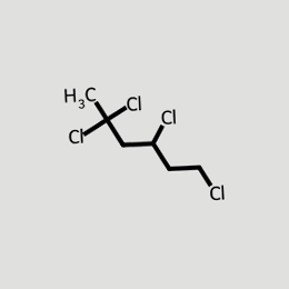 CC(Cl)(Cl)CC(Cl)CCCl